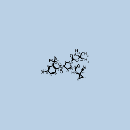 CC(C)(C)OC(=O)N1C[C@H](S(=O)(=O)c2ccc(Br)cc2C(F)(F)F)C[C@H]1C(=O)NC1(C#N)CC1